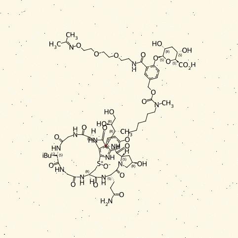 CC[C@H](C)[C@@H]1NC(=O)CNC(=O)[C@@H]2Cc3c([nH]c4cc(OCCCCCCN(C)C(=O)OCc5ccc(O[C@@H]6O[C@H](C(=O)O)[C@@H](O)C[C@H]6O)c(C(=O)NCCOCCOCCON=C(C)C)c5)ccc34)[S+]([O-])C[C@H](NC(=O)CNC1=O)C(=O)N[C@@H](CCC(N)=O)C(=O)N1C[C@H](O)C[C@H]1C(=O)N[C@@H]([C@@H](C)[C@@H](O)CO)C(=O)N2